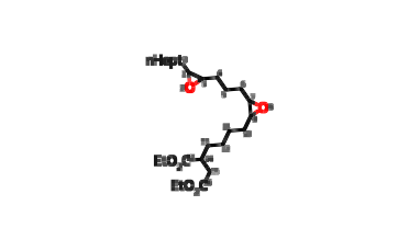 CCCCCCCC1OC1CCCC1OC1CCCCC(CC(=O)OCC)C(=O)OCC